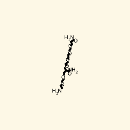 NCCOCCOCCC(COCCOCCOCCOCCC(N)=O)C(N)=O